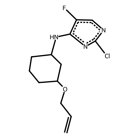 C=CCOC1CCCC(Nc2nc(Cl)ncc2F)C1